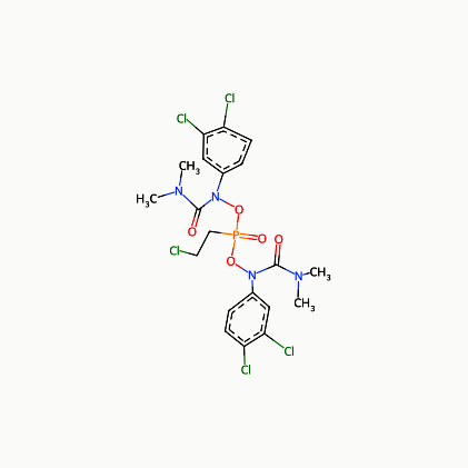 CN(C)C(=O)N(OP(=O)(CCCl)ON(C(=O)N(C)C)c1ccc(Cl)c(Cl)c1)c1ccc(Cl)c(Cl)c1